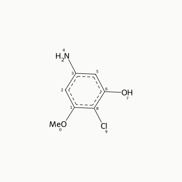 COc1cc(N)cc(O)c1Cl